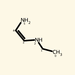 CCN/C=C\N